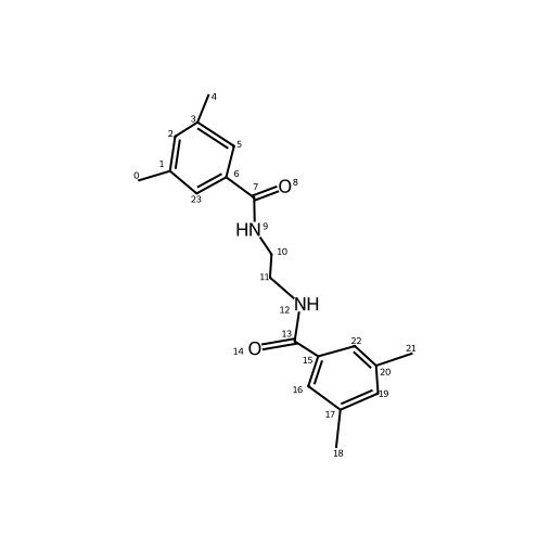 Cc1cc(C)cc(C(=O)NCCNC(=O)c2cc(C)cc(C)c2)c1